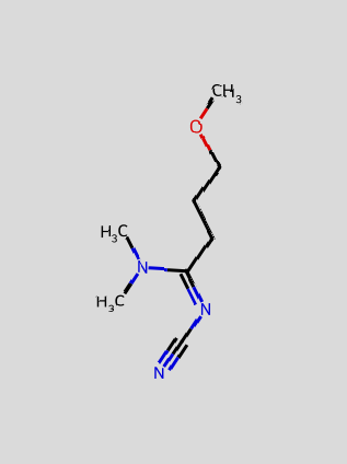 COCCC/C(=N/C#N)N(C)C